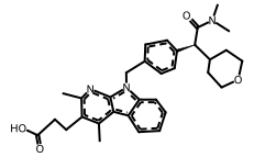 Cc1nc2c(c(C)c1CCC(=O)O)c1ccccc1n2Cc1ccc([C@@H](C(=O)N(C)C)C2CCOCC2)cc1